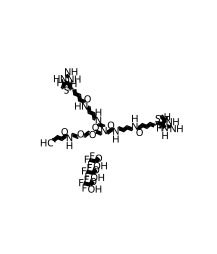 C#CCCC(=O)NCCOCCOCCN(CC(=O)NCCCCNC(=O)CCCC[C@@H]1SC[C@@H]2NC(=N)N[C@@H]21)CC(=O)NCCCCNC(=O)CCCC[C@@H]1SC[C@@H]2NC(=N)N[C@@H]21.O=C(O)C(F)(F)F.O=C(O)C(F)(F)F.O=C(O)C(F)(F)F